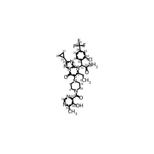 CCc1c(N2CCN(C(=O)c3ncnc(C)c3O)CC2)c(=O)n2nc(C3CC3)nc2n1C(C(N)=O)c1ccc(C(F)(F)F)cc1Cl